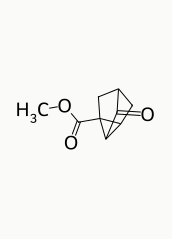 COC(=O)C12CC3CC1C2C3=O